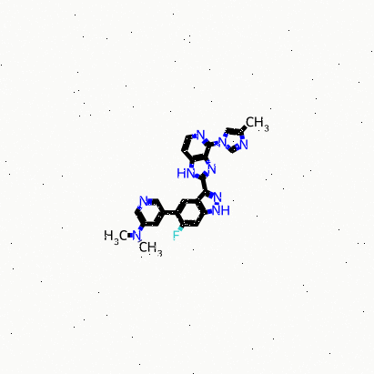 Cc1cn(-c2nccc3[nH]c(-c4n[nH]c5cc(F)c(-c6cncc(N(C)C)c6)cc45)nc23)cn1